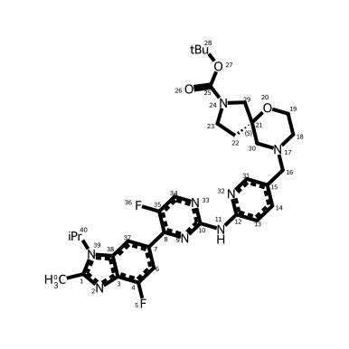 Cc1nc2c(F)cc(-c3nc(Nc4ccc(CN5CCO[C@@]6(CCN(C(=O)OC(C)(C)C)C6)C5)cn4)ncc3F)cc2n1C(C)C